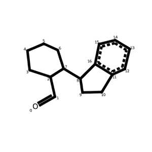 O=CC1CCCCC1C1CCc2ccccc21